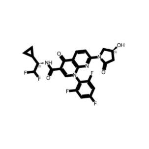 O=C(N[C@H](C(F)F)C1CC1)c1cn(-c2c(F)cc(F)cc2F)c2nc(N3C[C@@H](O)CC3=O)ccc2c1=O